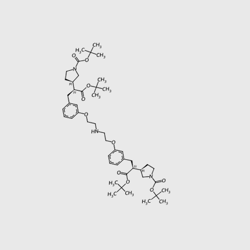 CC(C)(C)OC(=O)[C@@H](Cc1cccc(OCCNCCOc2cccc(C[C@H](C(=O)OC(C)(C)C)[C@H]3CCN(C(=O)OC(C)(C)C)C3)c2)c1)[C@H]1CCN(C(=O)OC(C)(C)C)C1